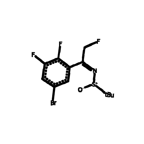 CC(C)(C)[S+]([O-])/N=C(/CF)c1cc(Br)cc(F)c1F